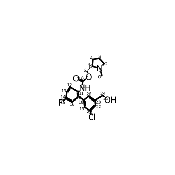 CN1CCC[C@H]1COC(=O)Nc1ccc(F)cc1-c1cc(Cl)cc(CO)c1